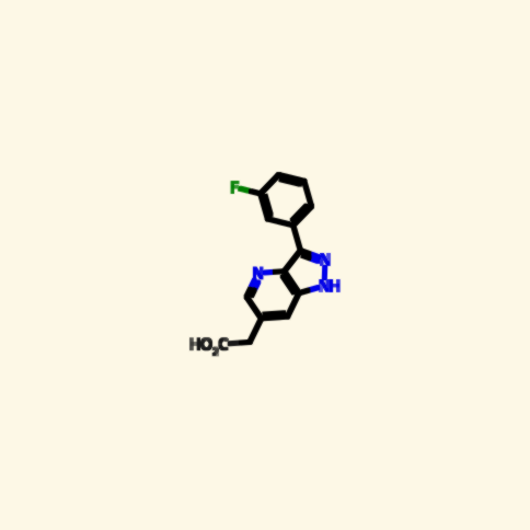 O=C(O)Cc1cnc2c(-c3cccc(F)c3)n[nH]c2c1